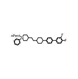 CCCCC[Si]1(c2ccccc2)CCC(CCC2CCC(c3ccc(-c4ccc(F)c(F)c4)cc3)CC2)CC1